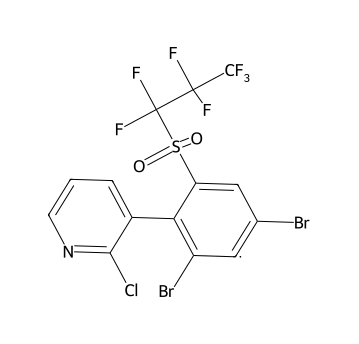 O=S(=O)(c1cc(Br)[c]c(Br)c1-c1cccnc1Cl)C(F)(F)C(F)(F)C(F)(F)F